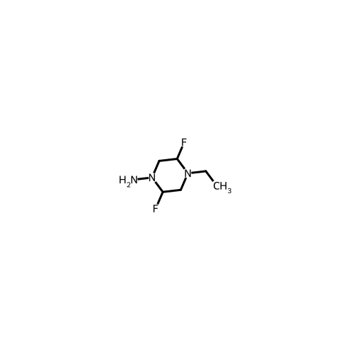 CCN1CC(F)N(N)CC1F